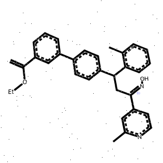 C=C(OCC)c1cccc(-c2ccc(C(C/C(=N\O)c3ccnc(C)c3)c3ccccc3C)cc2)c1